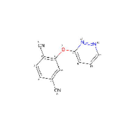 N#Cc1ccc(C#N)c(Oc2cc[c]nn2)c1